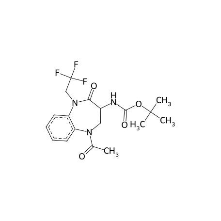 CC(=O)N1CC(NC(=O)OC(C)(C)C)C(=O)N(CC(F)(F)F)c2ccccc21